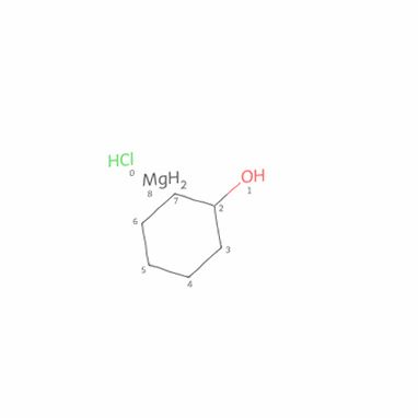 Cl.OC1CCCCC1.[MgH2]